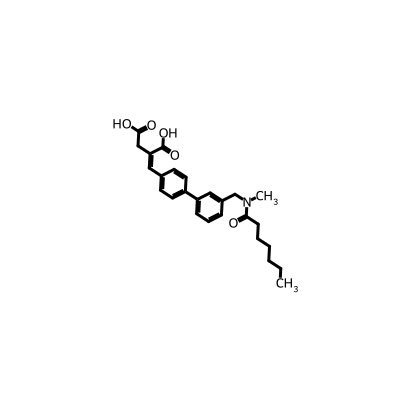 CCCCCCC(=O)N(C)Cc1cccc(-c2ccc(C=C(CC(=O)O)C(=O)O)cc2)c1